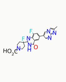 Cc1cn2cc(-c3cc(F)c4nc(C5(F)CCN(C(=O)O)CC5)[nH]c(=O)c4c3)cnc2n1